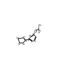 FC(F)Oc1cccc(C2CCCC2)c1